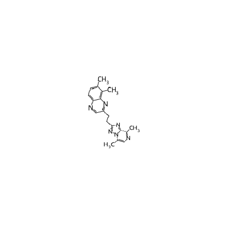 Cc1ccc2ncc(CCc3nc4c(C)ncc(C)n4n3)nc2c1C